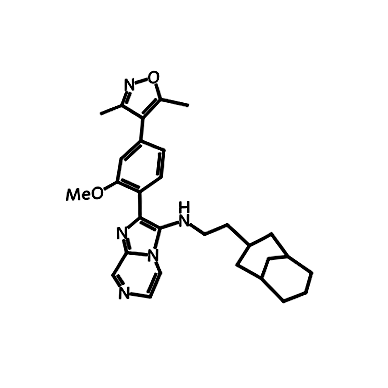 COc1cc(-c2c(C)noc2C)ccc1-c1nc2cnccn2c1NCCC1CC2CCCC(C2)C1